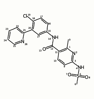 Cc1nc(NS(C)(=O)=O)ccc1C(=O)Nc1ccc(Cl)c(-c2ccccn2)c1